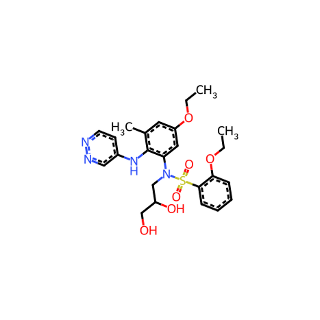 CCOc1cc(C)c(Nc2ccnnc2)c(N(CC(O)CO)S(=O)(=O)c2ccccc2OCC)c1